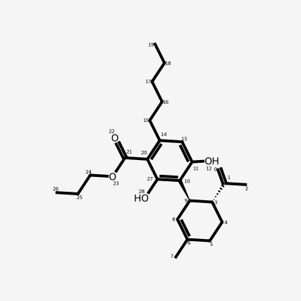 C=C(C)[C@@H]1CCC(C)=C[C@H]1c1c(O)cc(CCCCC)c(C(=O)OCCC)c1O